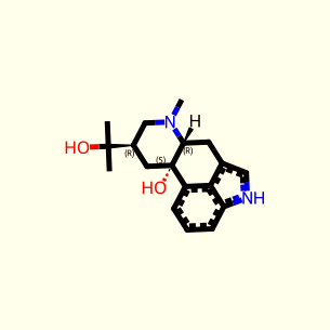 CN1C[C@H](C(C)(C)O)C[C@]2(O)c3cccc4[nH]cc(c34)C[C@@H]12